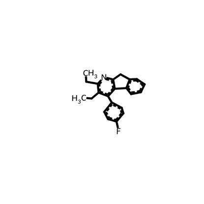 CCc1nc2c(c(-c3ccc(F)cc3)c1CC)-c1ccccc1C2